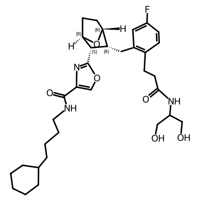 O=C(CCc1ccc(F)cc1C[C@@H]1[C@H](c2nc(C(=O)NCCCCC3CCCCC3)co2)[C@H]2CC[C@H]1O2)NC(CO)CO